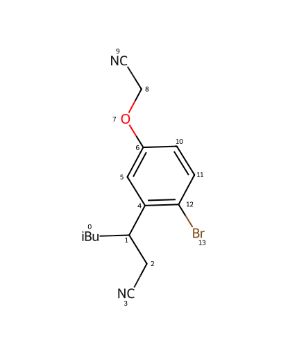 CCC(C)C(CC#N)c1cc(OCC#N)ccc1Br